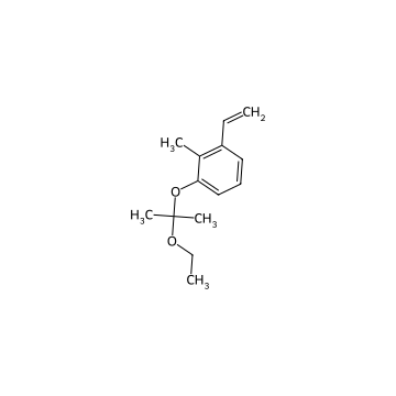 C=Cc1cccc(OC(C)(C)OCC)c1C